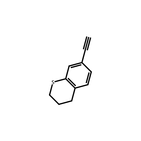 C#Cc1ccc2c(c1)SCCC2